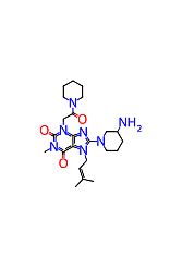 CC(C)=CCn1c(N2CCCC(N)C2)nc2c1c(=O)n(C)c(=O)n2CC(=O)N1CCCCC1